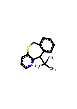 CC(C)(C)C1c2ccccc2CSc2cccnc21